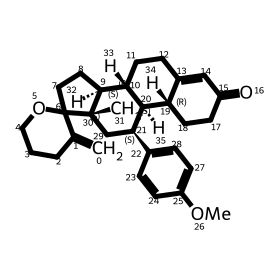 C=C1CCCOC12CC[C@H]1[C@@H]3CCC4=CC(=O)CC[C@@H]4[C@H]3[C@@H](c3ccc(OC)cc3)C[C@@]12C